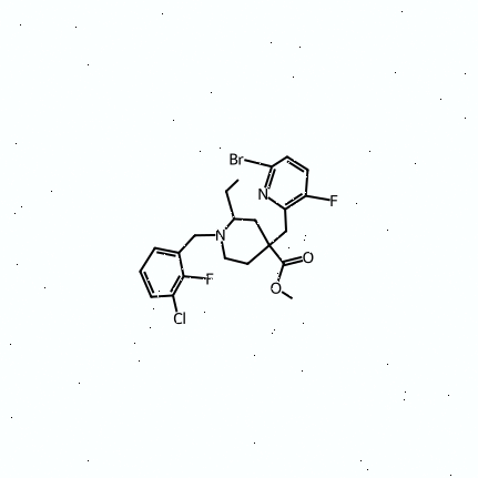 CCC1CC(Cc2nc(Br)ccc2F)(C(=O)OC)CCN1Cc1cccc(Cl)c1F